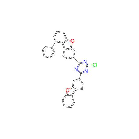 Clc1nc(-c2ccc3c(c2)oc2ccccc23)nc(-c2ccc3c(c2)oc2cccc(-c4ccccc4)c23)n1